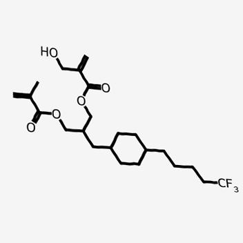 C=C(C)C(=O)OCC(COC(=O)C(=C)CO)CC1CCC(CCCCC(F)(F)F)CC1